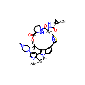 CCn1c(-c2cc(N3CCN(C)CC3)cnc2[C@H](C)OC)c2c3cc(ccc31)-c1csc(n1)C[C@H](NC(=O)[C@@H]1CC1C#N)C(=O)N1CCC[C@H](N1)C(=O)OCC(C)(C)C2